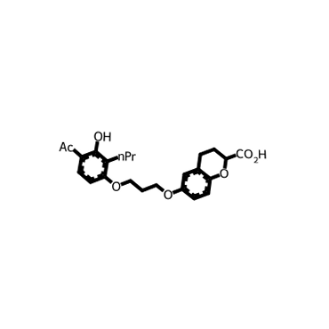 CCCc1c(OCCCOc2ccc3c(c2)CCC(C(=O)O)O3)ccc(C(C)=O)c1O